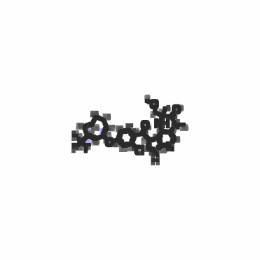 COCC1(C)Nc2c(cnc3[nH]cc(C(=O)c4ccc(OC5=C/CC/C=C/C(C(F)(F)F)=C\5)cc4Cl)c23)N(C)C1=O